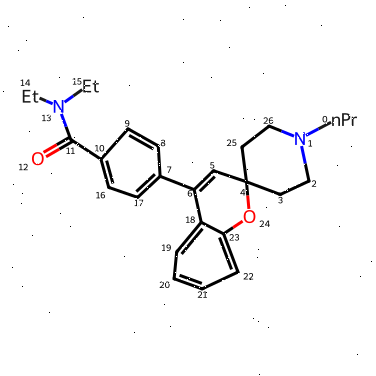 CCCN1CCC2(C=C(c3ccc(C(=O)N(CC)CC)cc3)c3ccccc3O2)CC1